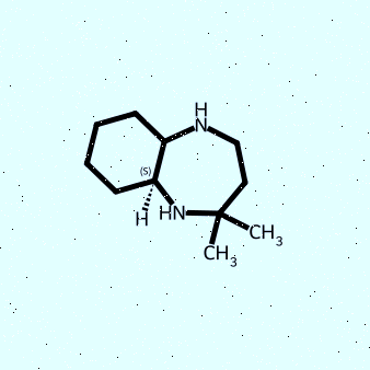 CC1(C)CCNC2CCCC[C@@H]2N1